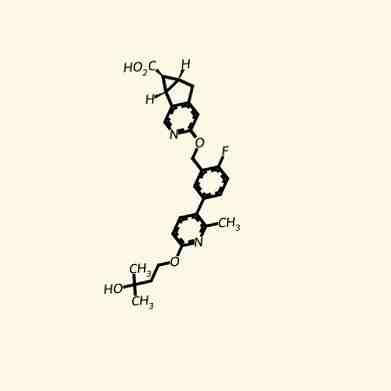 Cc1nc(OCCC(C)(C)O)ccc1-c1ccc(F)c(COc2cc3c(cn2)[C@H]2[C@@H](C3)[C@@H]2C(=O)O)c1